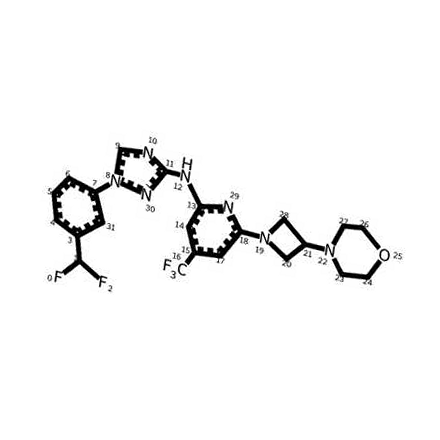 FC(F)c1cccc(-n2cnc(Nc3cc(C(F)(F)F)cc(N4CC(N5CCOCC5)C4)n3)n2)c1